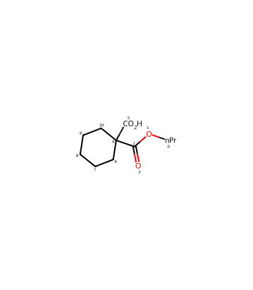 CCCOC(=O)C1(C(=O)O)CCCCC1